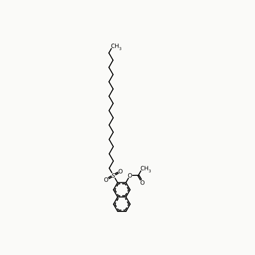 CCCCCCCCCCCCCCCCCCS(=O)(=O)c1cc2ccccc2cc1OC(C)=O